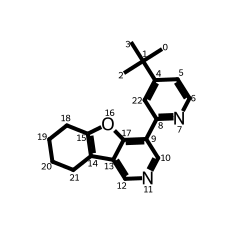 CC(C)(C)c1ccnc(-c2cncc3c4c(oc23)CCCC4)c1